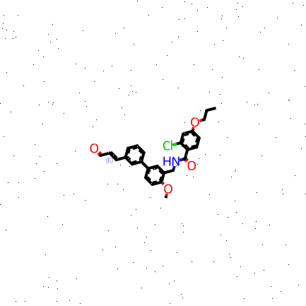 CCCOc1ccc(C(=O)NCc2cc(-c3cccc(/C=C/C=O)c3)ccc2OC)c(Cl)c1